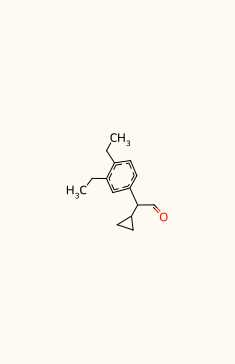 CCc1ccc(C(C=O)C2CC2)cc1CC